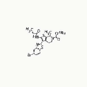 C=CC(=O)Nc1sc2c(c1-c1nc3cc(Br)ccc3s1)CCN(C(=O)OC(C)(C)C)C2C